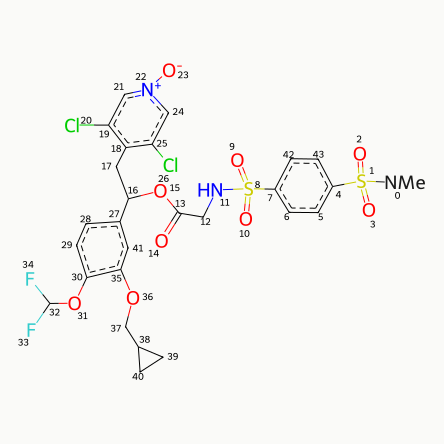 CNS(=O)(=O)c1ccc(S(=O)(=O)NCC(=O)OC(Cc2c(Cl)c[n+]([O-])cc2Cl)c2ccc(OC(F)F)c(OCC3CC3)c2)cc1